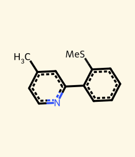 CSc1ccccc1-c1cc(C)ccn1